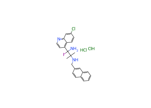 CC(C)(NCc1ccc2ccccc2c1)C(N)(I)c1ccnc2cc(Cl)ccc12.Cl.Cl